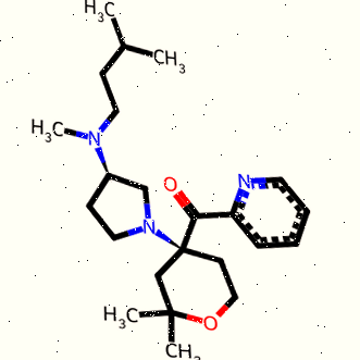 CC(C)CCN(C)[C@@H]1CCN([C@@]2(C(=O)c3ccccn3)CCOC(C)(C)C2)C1